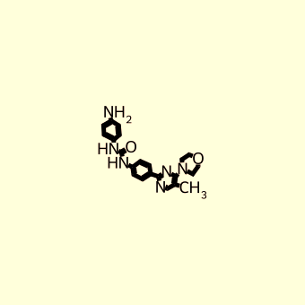 Cc1cnc(-c2ccc(NC(=O)Nc3ccc(N)cc3)cc2)nc1N1CCOCC1